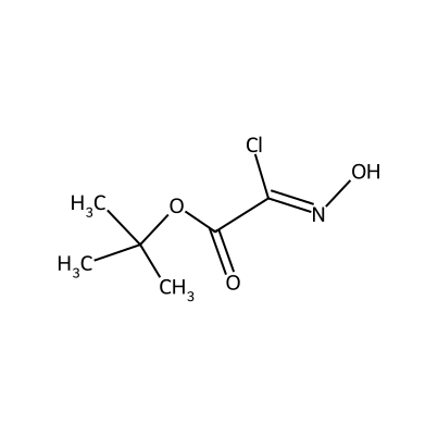 CC(C)(C)OC(=O)C(Cl)=NO